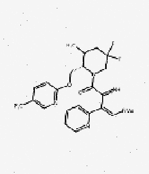 CN/C=C(\C(=N)C(=O)N1CC(F)(F)CC(C)[C@H]1COc1ccc(C(F)(F)F)cn1)c1ccccn1